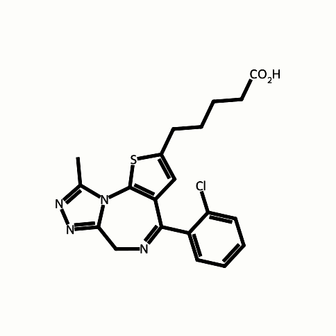 Cc1nnc2n1-c1sc(CCCCC(=O)O)cc1C(c1ccccc1Cl)=NC2